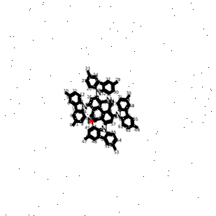 Cc1ccc2c(c1)c1cc(C)ccc1n2-c1cc(-n2c3ccc(C)cc3c3cc(C)ccc32)c(C#N)c(-c2c(C#N)c(-n3c4ccc(C)cc4c4cc(C)ccc43)cc(-n3c4ccc(C)cc4c4cc(C)ccc43)c2C#N)c1C#N